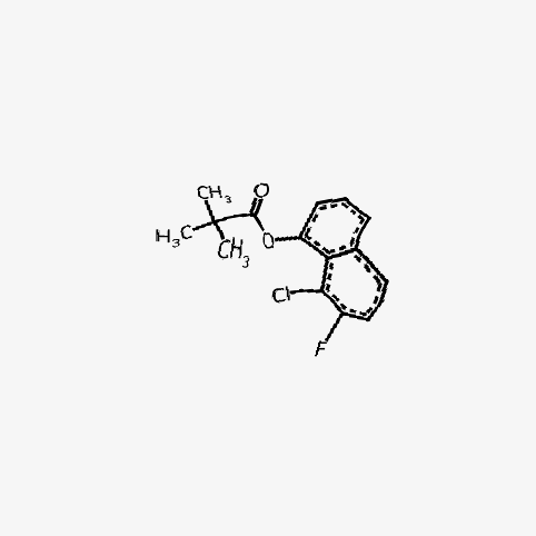 CC(C)(C)C(=O)Oc1cccc2ccc(F)c(Cl)c12